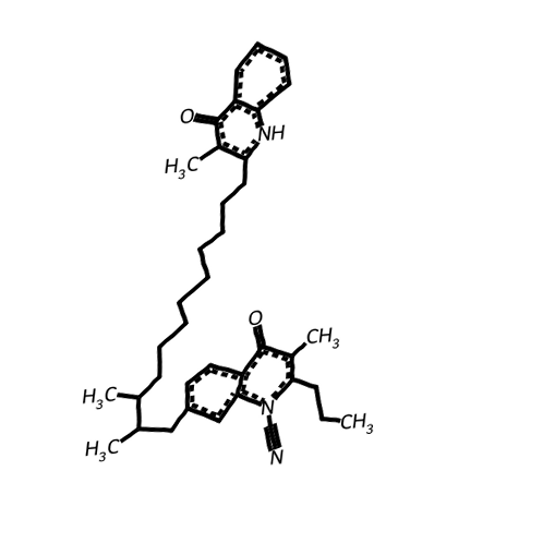 CCCc1c(C)c(=O)c2ccc(CC(C)C(C)CCCCCCCCCc3[nH]c4ccccc4c(=O)c3C)cc2n1C#N